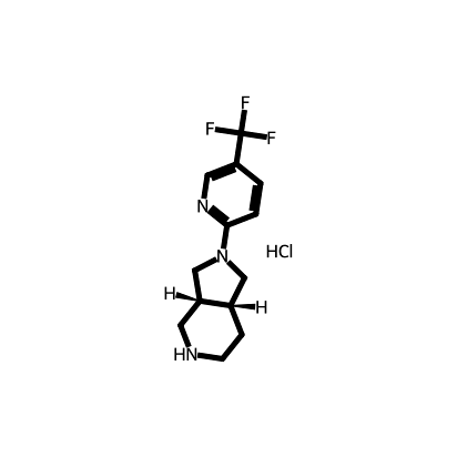 Cl.FC(F)(F)c1ccc(N2C[C@H]3CNCC[C@H]3C2)nc1